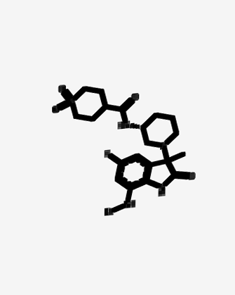 CCNc1cc(F)cc2c1NC(=O)C2(C)N1CCC[C@@H](NC(=O)C2CCS(=O)(=O)CC2)C1